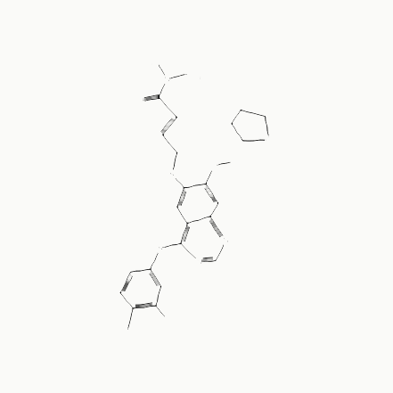 CN(C)C(=O)C=CCNc1cc2c(Nc3ccc(F)c(Cl)c3)ncnc2cc1OC[C@@H]1CCCO1